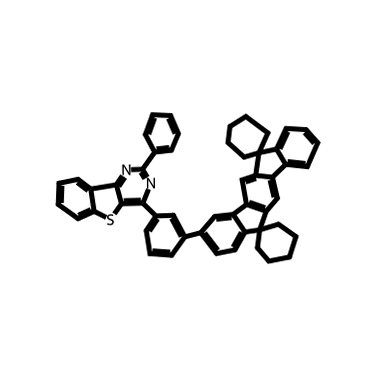 c1ccc(-c2nc(-c3cccc(-c4ccc5c(c4)-c4cc6c(cc4C54CCCCC4)-c4ccccc4C64CCCCC4)c3)c3sc4ccccc4c3n2)cc1